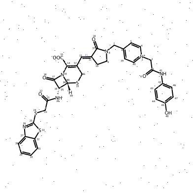 O=C(C[n+]1ccc(CN2CC/C(=C\C3=C(C(=O)[O-])N4C(=O)[C@@H](NC(=O)CSc5nc6ccccc6s5)[C@H]4SC3)C2=O)cc1)Nc1ccc(O)cc1